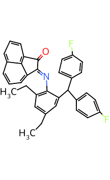 CCc1cc(CC)c(N=C2C(=O)c3cccc4cccc2c34)c(C(c2ccc(F)cc2)c2ccc(F)cc2)c1